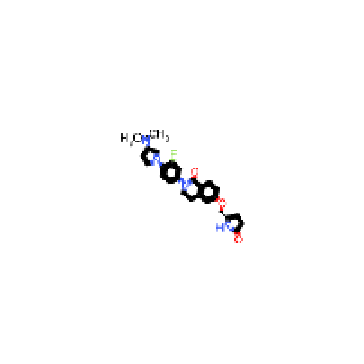 CN(C)[C@@H]1CCN(c2ccc(N3CCc4cc(OC[C@@H]5CCC(=O)N5)ccc4C3=O)cc2F)C1